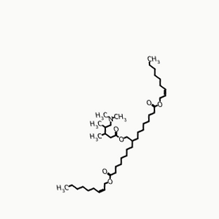 CCCCCC/C=C\COC(=O)CCCCCCCC(CCCCCCCC(=O)OC/C=C\CCCCCC)COC(=O)CC(C)C(C)CN(C)C